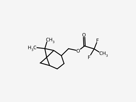 CC(F)(F)C(=O)OCC1CCC2CC23C1C3(C)C